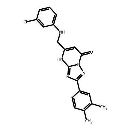 Cc1ccc(-c2nc3[nH]c(CNc4cccc(Cl)c4)cc(=O)n3n2)cc1C